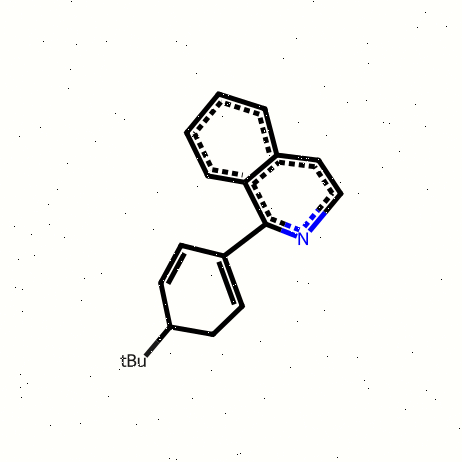 CC(C)(C)C1C=CC(c2nccc3ccccc23)=CC1